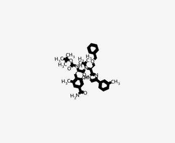 Cc1cccc(-c2c[nH]c([C@H](COCc3ccccc3)N(C(=O)[C@H](Cc3c(C)cc(C(N)=O)cc3C)NC(=O)OC(C)(C)C)C(C)C)n2)c1